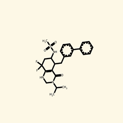 CC(C)N1CNC2=C(C1=O)C(Cc1cccc(-c3ccccc3)c1)C(NS(C)(=O)=O)CC2(F)F